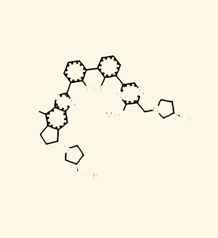 COc1nc(-c2cccc(-c3cccc(-c4nc5cc6c(c(C(F)(F)F)c5o4)CC[C@H]6N4CC[C@@H](C(=O)O)C4)c3Cl)c2Cl)cnc1CN1CC[C@@H](O)C1